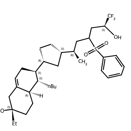 CCCC[C@H]1[C@H]([C@@H]2CC[C@H]([C@H](C)CC(C[C@H](O)C(F)(F)F)S(=O)(=O)c3ccccc3)C2)CC=C2C[C@](O)(CC)CC[C@@H]21